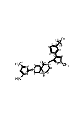 Cc1cc(C)nc(N2CCC3(CC2)NCCN(Cc2nn(C)cc2-c2cccc(C(F)(F)F)c2)C3=O)n1